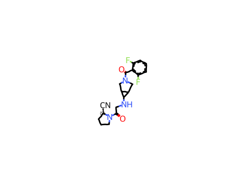 N#C[C@@H]1CCCN1C(=O)CNC1C2CN(C(=O)c3c(F)cccc3F)CC21